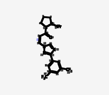 CC(C)N1CCCN1C(=O)/C=C\n1cnc(-c2cc(C(F)(F)F)cc(C(F)(F)F)c2)n1